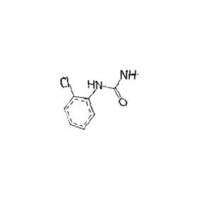 [NH]C(=O)Nc1ccccc1Cl